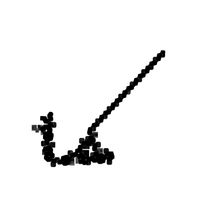 CCCN(CCC)C(=O)C1=Cc2ccc(C(=O)Nc3cnc4c(c3)CN(C(=O)OCc3ccc(NC(=O)[C@H](CCCNC(N)=O)NC(=O)[C@@H](NC(=O)CCc5ccc(N6C(=O)C=CC6=O)cc5C(=O)NCC(=O)NCC(=O)NCCOCCOCCOCCOCCOCCOCCOCCOCCOCCOCCOCCOCCOC)C(C)C)cc3)CC4)cc2N=C(N)C1